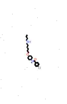 C=CCCNCCCCCCOC1CCC(N(C)C(=O)c2ccc(Cl)cc2)CC1